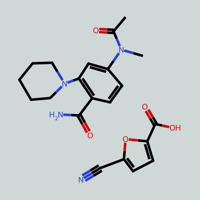 CC(=O)N(C)c1ccc(C(N)=O)c(N2CCCCC2)c1.N#Cc1ccc(C(=O)O)o1